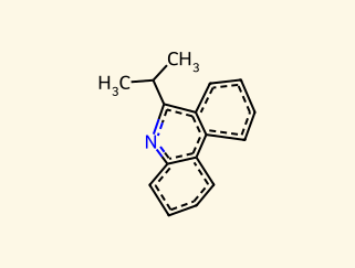 CC(C)c1nc2ccccc2c2ccccc12